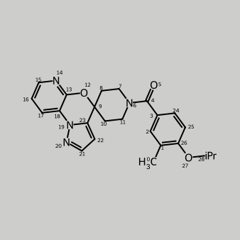 Cc1cc(C(=O)N2CCC3(CC2)Oc2ncccc2-n2nccc23)ccc1OC(C)C